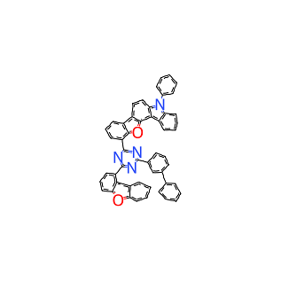 c1ccc(-c2cccc(-c3nc(-c4cccc5c4oc4c5ccc5c4c4ccccc4n5-c4ccccc4)nc(-c4cccc5oc6ccccc6c45)n3)c2)cc1